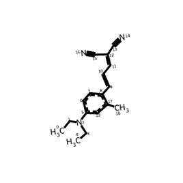 CCN(CC)c1ccc(C=CC=C(C#N)C#N)c(C)c1